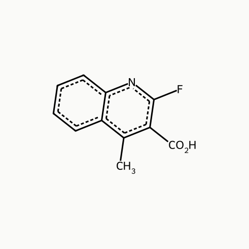 Cc1c(C(=O)O)c(F)nc2ccccc12